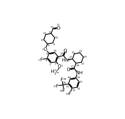 COc1cc(F)c(OC2CCC(C=O)CC2)cc1C(=O)NC1CCCCC1C(=O)Nc1ccc(F)c(C(F)(F)F)c1